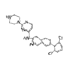 Clc1cccc(Cl)c1-c1ccc2cc(Nc3ccnc(N4CCNCC4)n3)ncc2c1